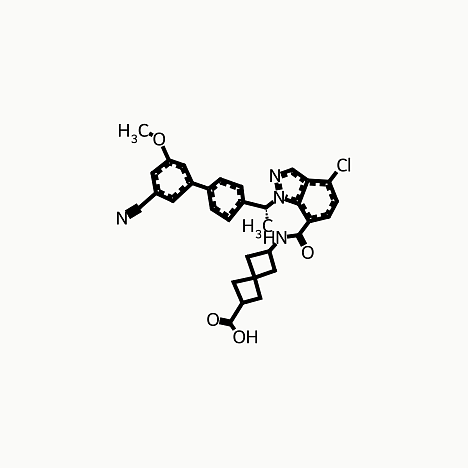 COc1cc(C#N)cc(-c2ccc([C@@H](C)n3ncc4c(Cl)ccc(C(=O)NC5CC6(C5)CC(C(=O)O)C6)c43)cc2)c1